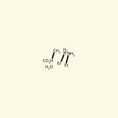 CC(=O)O.CCN.CCN.O